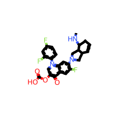 CNC1CC=CC2CN(c3cc4c(cc3F)c(=O)c(OC(=O)O)cn4-c3ccc(F)cc3F)CC21